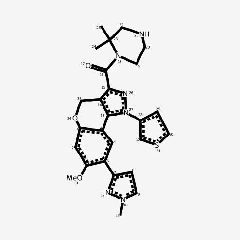 COc1cc2c(cc1-c1ccn(C)n1)-c1c(c(C(=O)N3CCNCC3(C)C)nn1-c1ccsc1)CO2